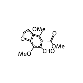 COC(=O)c1c(C=O)c(OC)c2occc2c1OC